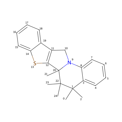 CC1(C)c2ccccc2N2Cc3c(sc4ccccc34)C2(C)C1(C)C